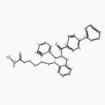 O=C(CCCCCOc1ccccc1CN(Cc1ccccc1)C(=O)c1ccc(-c2ccccc2)nc1)NO